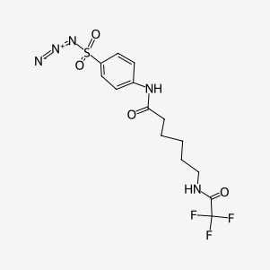 [N-]=[N+]=NS(=O)(=O)c1ccc(NC(=O)CCCCCNC(=O)C(F)(F)F)cc1